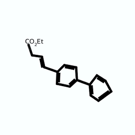 CCOC(=O)CC=Cc1ccc(-c2ccccc2)cc1